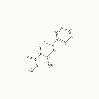 CCCCOC(=O)N1CCN(c2ccccn2)CC1C